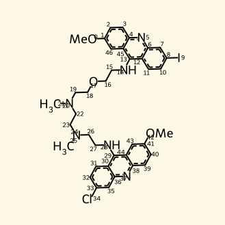 COc1ccc2nc3cc(I)ccc3c(NCCOCCN(C)CCN(C)CCNc3c4ccc(Cl)cc4nc4ccc(OC)cc34)c2c1